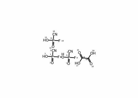 N#CP(=O)(O)F.N#CP(=O)(O)F.N#CP(=O)(O)F.O=C(O)C(=O)O